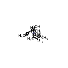 CCCC[C@H](C)C[C@@H](/C=C(\C(C)C)[C@H]1C(OCc2ccc(OC)cc2)C[C@@H]2OC(O)C[C@@H]21)OCc1ccc(OC)cc1